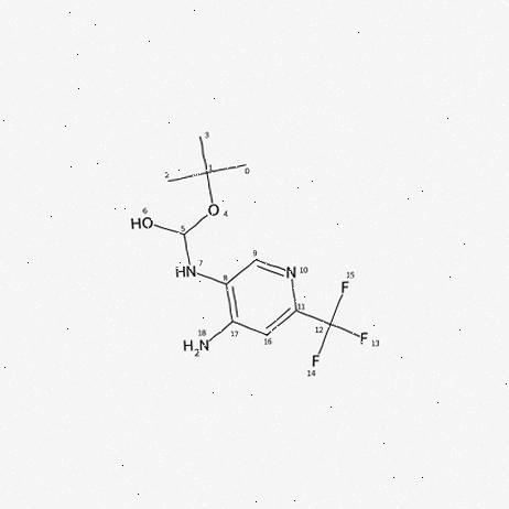 CC(C)(C)OC(O)Nc1cnc(C(F)(F)F)cc1N